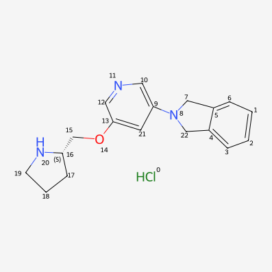 Cl.c1ccc2c(c1)CN(c1cncc(OC[C@@H]3CCCN3)c1)C2